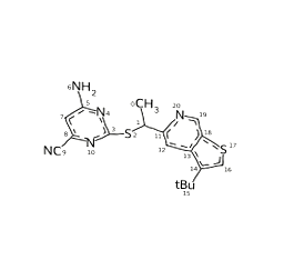 CC(Sc1nc(N)cc(C#N)n1)c1cc2c(C(C)(C)C)csc2cn1